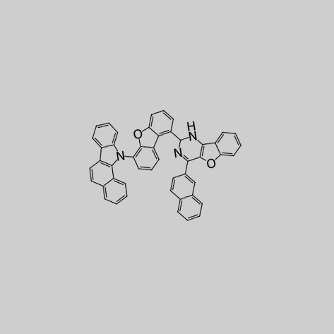 c1ccc2cc(C3=NC(c4cccc5oc6c(-n7c8ccccc8c8ccc9ccccc9c87)cccc6c45)Nc4c3oc3ccccc43)ccc2c1